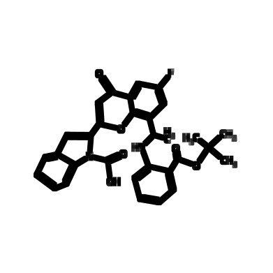 CC(Nc1ccccc1C(=O)OC(C)(C)C)c1cc(F)cc2c(=O)cc(-c3cc4ccccc4n3C(=O)O)oc12